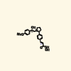 COc1ccc([C@H](O)CN2CCCC2c2ccc(/C=C/C(=O)NO)cc2)cc1